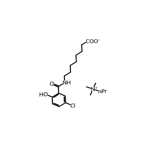 CCC[N+](C)(C)C.O=C([O-])CCCCCCCNC(=O)c1cc(Cl)ccc1O